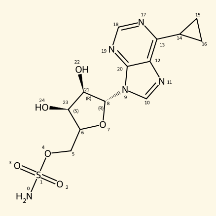 NS(=O)(=O)OCC1O[C@@H](n2cnc3c(C4CC4)ncnc32)[C@H](O)[C@@H]1O